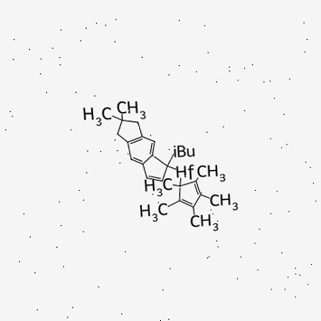 CCC(C)[C]1([Hf][C]2(C)C(C)=C(C)C(C)=C2C)C=Cc2cc3c(cc21)CC(C)(C)C3